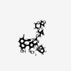 C#Cc1c(F)ccc2cc(O)cc(-c3c(SC(F)(F)F)cc4c(N5CC6CCC(C5)N6)nc(OCC5(CN6CCOC7(COC7)C6)CC5)nc4c3F)c12